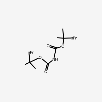 CCCC(C)(C)OC(=O)NC(=O)OC(C)(C)CCC